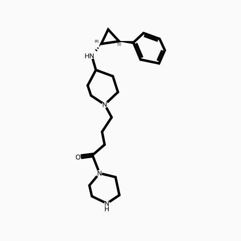 O=C(CCCN1CCC(N[C@@H]2C[C@H]2c2ccccc2)CC1)N1CCNCC1